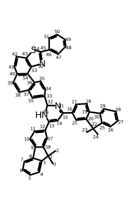 CC1(C)c2ccccc2-c2ccc(C3=CC(c4ccc5c(c4)C(C)(C)c4ccccc4-5)=NC(c4ccc5c(ccc6ccc7sc(-c8ccccc8)nc7c65)c4)N3)cc21